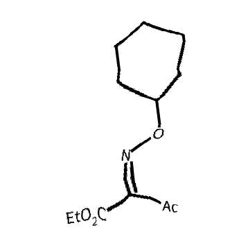 CCOC(=O)C(=NOC1CCCCC1)C(C)=O